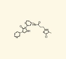 Cc1nn(CCC(=O)NCc2ccnc(-n3[nH]cc(-c4cccnc4)c3=O)c2)cc1Cl